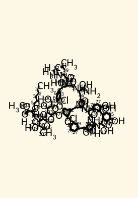 CCCCCCOC(CNC1(C)CC(OC2C(Oc3c4cc5cc3Oc3ccc(cc3Cl)[C@@H](O)[C@@H]3NC(=O)C(NC(=O)C5NC(=O)CC(C(N)O)NC(=O)[C@@H](NC(=O)[C@@H](CC(C)C)NC)C(O)c5ccc(c(Cl)c5)O4)c4ccc(O)c(c4)-c4c(O)cc(O)cc4C(C(=O)O)NC3=O)OC(CO)C(O)C2O)OC(C)C1O)C(=O)OC